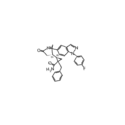 CC1(c2ccc3c(cnn3-c3ccc(F)cc3)c2)NC(=O)C[C@H]1[C@H]1CC1(Cc1ccccc1)C(N)=O